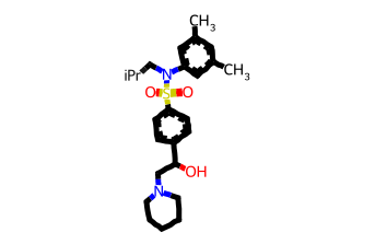 Cc1cc(C)cc(N(CC(C)C)S(=O)(=O)c2ccc(C(O)CN3CCCCC3)cc2)c1